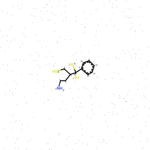 NCCC([CH]S)C(S)(S)c1ccccc1